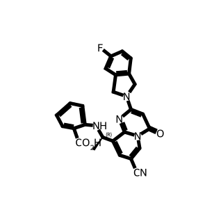 C[C@@H](Nc1ccccc1C(=O)O)c1cc(C#N)cn2c(=O)cc(N3Cc4ccc(F)cc4C3)nc12